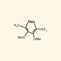 COc1c(C)cnc(C(F)(F)F)c1OC